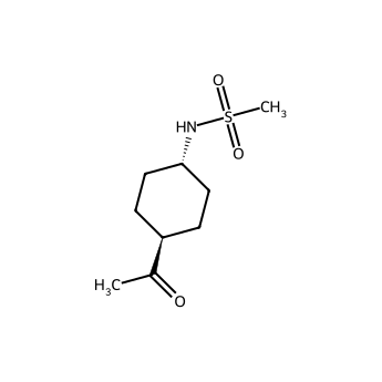 CC(=O)[C@H]1CC[C@H](NS(C)(=O)=O)CC1